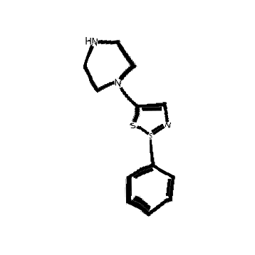 C1=C(N2CCNCC2)SS(c2ccccc2)=N1